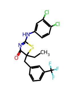 CCC1(Cc2cccc(C(F)(F)F)c2)SC(Nc2ccc(Cl)c(Cl)c2)=NC1=O